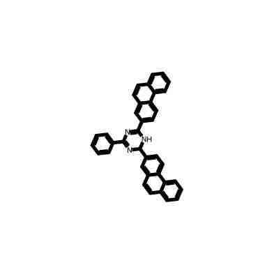 c1ccc(C2=NC(c3ccc4c(ccc5ccccc54)c3)NC(c3ccc4c(ccc5ccccc54)c3)=N2)cc1